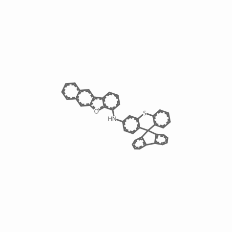 c1ccc2c(c1)Sc1cc(Nc3cccc4c3oc3cc5ccccc5cc34)ccc1C21c2ccccc2-c2ccccc21